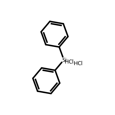 Cl.Cl.c1ccc([Si]c2ccccc2)cc1